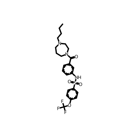 CCCCN1CCCN(C(=O)c2cccc(NS(=O)(=O)c3ccc(OC(F)(F)F)cc3)c2)CC1